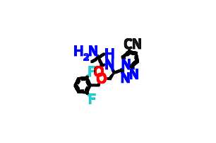 CC(C)(N)C(=O)N[C@H](COCc1c(F)cccc1F)c1nnc2ccc(C#N)cn12